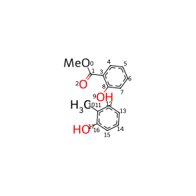 COC(=O)c1ccccc1O.Cc1ccccc1O